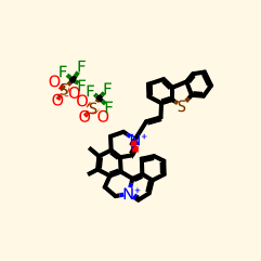 Cc1c(C)c2c(c3c1CC[n+]1ccc4ccccc4c1-3)-c1cccc(C=Cc3cccc4c3sc3ccccc34)[n+]1CC2.O=S(=O)([O-])C(F)(F)F.O=S(=O)([O-])C(F)(F)F